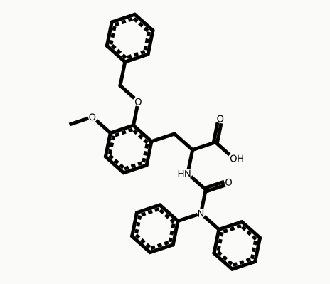 COc1cccc(CC(NC(=O)N(c2ccccc2)c2ccccc2)C(=O)O)c1OCc1ccccc1